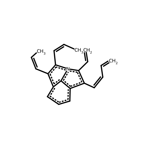 C=C/C=C\c1c(C=C)n2c(/C=C\C)c(/C=C\C)c3cccc1c32